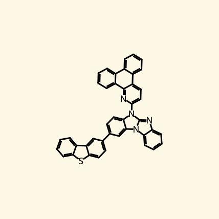 c1ccc2c(c1)nc1n(-c3ccc4c5ccccc5c5ccccc5c4n3)c3ccc(-c4ccc5sc6ccccc6c5c4)cc3n21